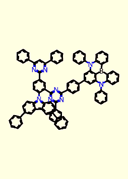 c1ccc(-c2ccc3c(c2)c2cc(-c4ccccc4)ccc2n3-c2ccc(-c3nc(-c4ccccc4)cc(-c4ccccc4)n3)cc2-c2nc(-c3ccccc3)nc(-c3ccc(-c4cc5c6c(c4)N(c4ccccc4)c4ccccc4B6c4ccccc4N5c4ccccc4)cc3)n2)cc1